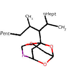 CCCCCCCC(C)C(C(C)CC(C)CCC)C12CC3OC(CC(O1)[P]3)O2